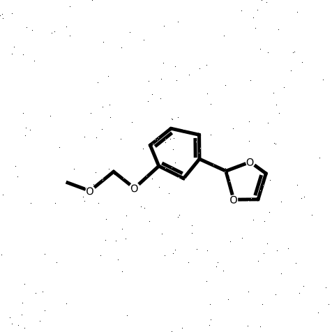 COCOc1cccc(C2OC=CO2)c1